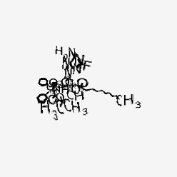 C#C[C@]1(CO[P@@](=O)(N[C@@H](Cc2ccccc2)C(=O)OC(C)C)Oc2ccccc2)O[C@@H](n2cnc3c(N)nc(F)nc32)C[C@@H]1OC(=O)CCCCCCCCC